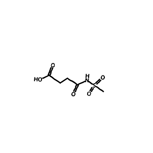 CS(=O)(=O)NC(=O)CCC(=O)O